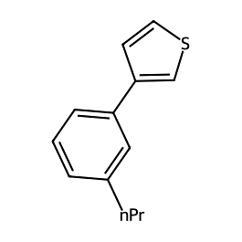 CCCc1cccc(-c2ccsc2)c1